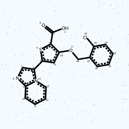 O=C(O)c1sc(-c2cnc3ccccn23)cc1OCc1ccccc1Cl